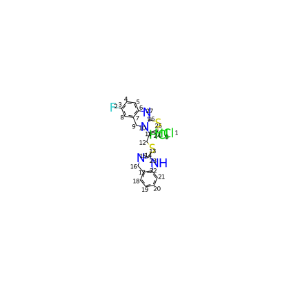 Cl.Cl.Fc1ccc2c(c1)CN1C(CSC3=NCc4ccccc4N3)=CSC1=N2